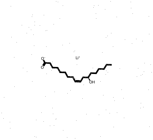 CCCCCC[C@@H](O)C/C=C\CCCCCCCC(=O)[O-].[Li+]